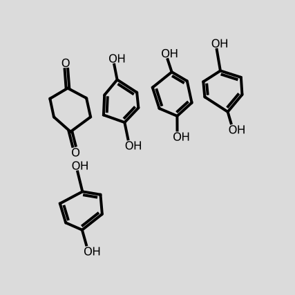 O=C1CCC(=O)CC1.Oc1ccc(O)cc1.Oc1ccc(O)cc1.Oc1ccc(O)cc1.Oc1ccc(O)cc1